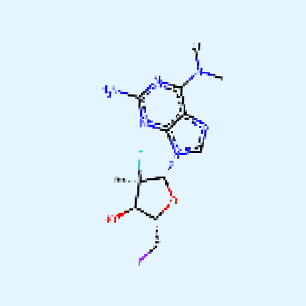 CCN(C)c1nc(N)nc2c1ncn2[C@@H]1O[C@H](CI)[C@@H](O)[C@@]1(C)F